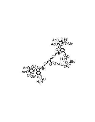 COC(=O)[C@H]1O[C@@H](Oc2ccc(COC(N)=O)cc2C(=O)NCCOCCN(CCOCCNC(=O)c2cc(COC(N)=O)ccc2O[C@@H]2O[C@H](C(=O)OC)[C@@H](OC(C)=O)[C@H](OC(C)=O)[C@H]2OC(C)=O)C(=O)COCCOCCON(C)C(=O)OC(C)(C)C)[C@H](OC(C)=O)[C@@H](OC(C)=O)[C@@H]1OC(C)=O